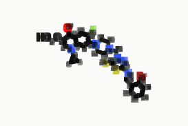 O=C(O)c1cn(C2CC2)c2cc(N3CCN(Cn4nc(N=Cc5ccccc5Br)sc4=S)CC3)c(F)cc2c1=O